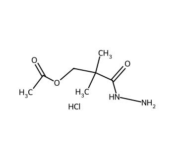 CC(=O)OCC(C)(C)C(=O)NN.Cl